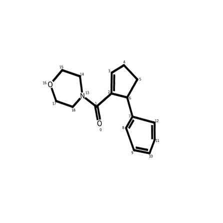 O=C(C1=CCCC1c1ccccc1)N1CCOCC1